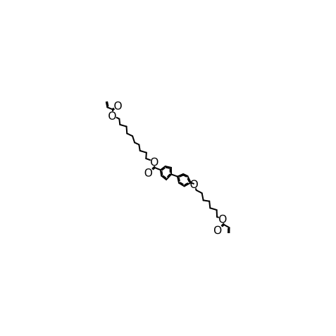 C=CC(=O)OCCCCCCCCCCOC(=O)c1ccc(-c2ccc(OCCCCCCCOC(=O)C=C)cc2)cc1